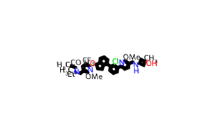 CCN(Cc1cc(C(F)(F)F)c(O[C@H]2CCc3c(-c4cccc(-c5ccc(CN[C@H]6C[C@](C)(O)C6)c(OC)n5)c4Cl)cccc32)nc1OC)CC(C)(C)C(=O)O